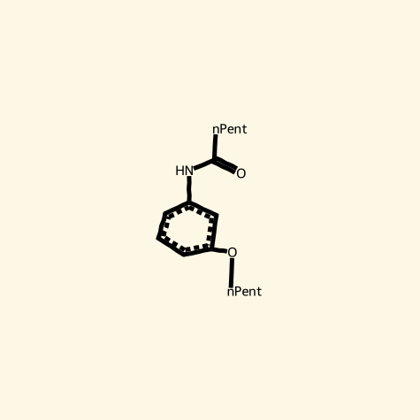 [CH2]CCCCOc1cccc(NC(=O)CCCCC)c1